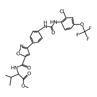 COC(=O)C(NC(=O)c1cc(-c2ccc(NC(=O)Nc3ccc(OC(F)(F)F)cc3Cl)cc2)no1)C(C)C